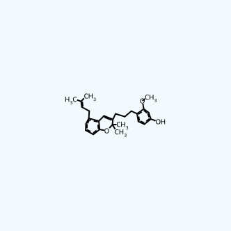 COc1cc(O)ccc1CCCC1=Cc2c(CC=C(C)C)cccc2OC1(C)C